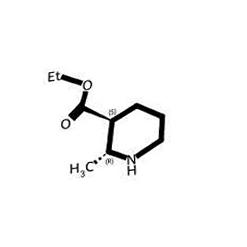 CCOC(=O)[C@H]1CCCN[C@@H]1C